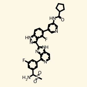 CS(=O)(=O)C(N)c1cc(F)cc(-c2nccc3[nH]c(-c4n[nH]c5ccc(-c6cncc(NC(=O)C7CCCC7)c6)c(F)c45)nc23)c1